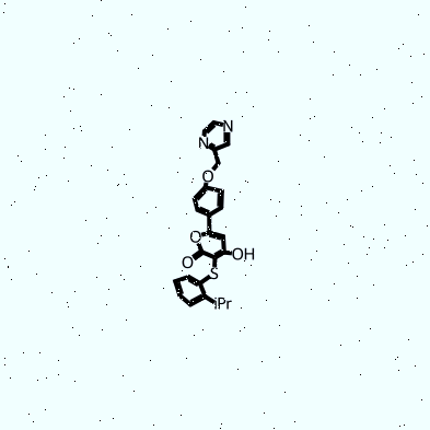 CC(C)c1ccccc1Sc1c(O)cc(-c2ccc(OCc3cnccn3)cc2)oc1=O